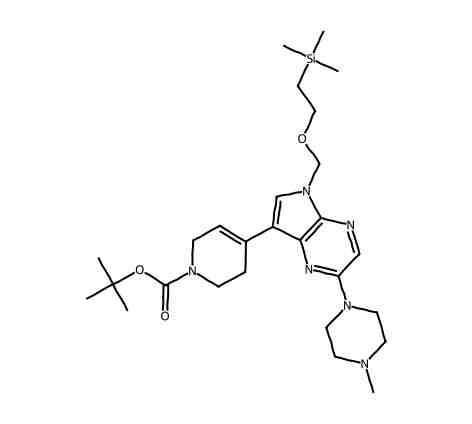 CN1CCN(c2cnc3c(n2)c(C2=CCN(C(=O)OC(C)(C)C)CC2)cn3COCC[Si](C)(C)C)CC1